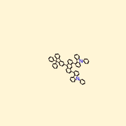 c1ccc(-n2c3ccccc3c3c(-c4cccc5c(-c6ccc7c(c6)-c6ccccc6C7(c6ccccc6)c6ccccc6)c6cccc(-c7cccc8c7c7ccccc7n8-c7ccccc7)c6cc45)cccc32)cc1